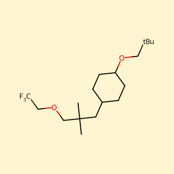 CC(C)(C)COC1CCC(CC(C)(C)COCC(F)(F)F)CC1